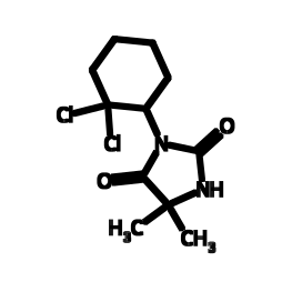 CC1(C)NC(=O)N(C2CCCCC2(Cl)Cl)C1=O